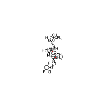 CC(C)(C)OC(=O)N1C[C@@H]2CC(c3ccc(N4CC[C@@H](Oc5c(F)ccc(F)c5Cl)C4)nc3)=C(C(=O)O)[C@H](C1)N2C(=O)OC(C)(C)C